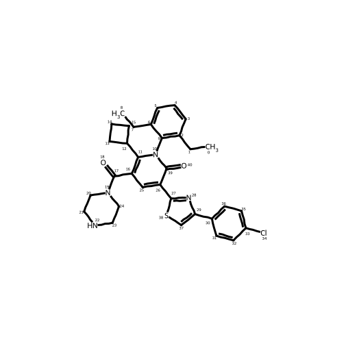 CCc1cccc(CC)c1-n1c(C2CCC2)c(C(=O)N2CCNCC2)cc(-c2nc(-c3ccc(Cl)cc3)cs2)c1=O